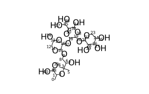 CC(OC(C)(C)C(O)COC1OCC(O)OC1OC(COC1OCC(O)C(O)C1O)OC(C(=O)O)C(O)O)C(=O)O